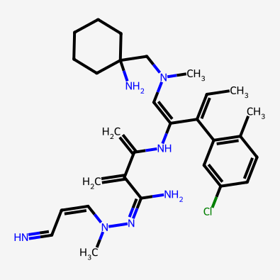 C=C(N/C(=C/N(C)CC1(N)CCCCC1)C(=CC)c1cc(Cl)ccc1C)C(=C)/C(N)=N\N(C)/C=C\C=N